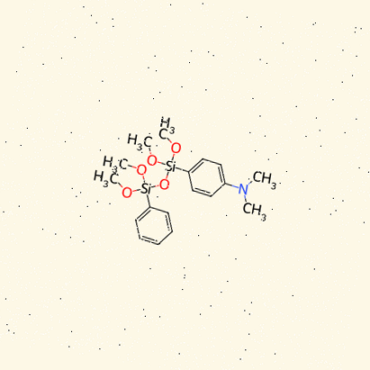 CO[Si](OC)(O[Si](OC)(OC)c1ccc(N(C)C)cc1)c1ccccc1